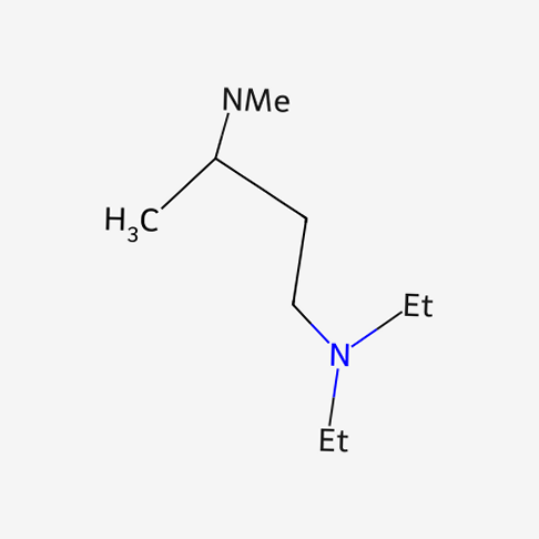 CCN(CC)CCC(C)NC